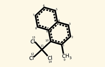 Cc1ccc2ccccc2c1C(Cl)(Cl)Cl